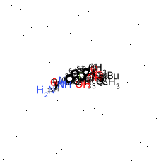 C[C@@H]1C[C@H]2[C@@H]3CCC4=C/C(=N/NC(=O)CN)C=C[C@]4(C)[C@@]3(F)[C@@H](O)C[C@]2(C)[C@@]1(O)C(=O)CO[Si](C)(C)C(C)(C)C